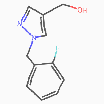 OCc1cnn(Cc2ccccc2F)c1